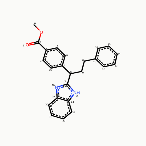 COC(=O)c1ccc(C(CCc2ccccc2)c2nc3ccccc3[nH]2)cc1